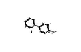 Cc1ccccc1-c1ccc(C(C)C)nc1